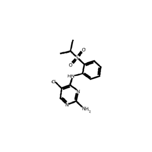 CC(C)S(=O)(=O)c1ccccc1Nc1nc(N)ncc1Cl